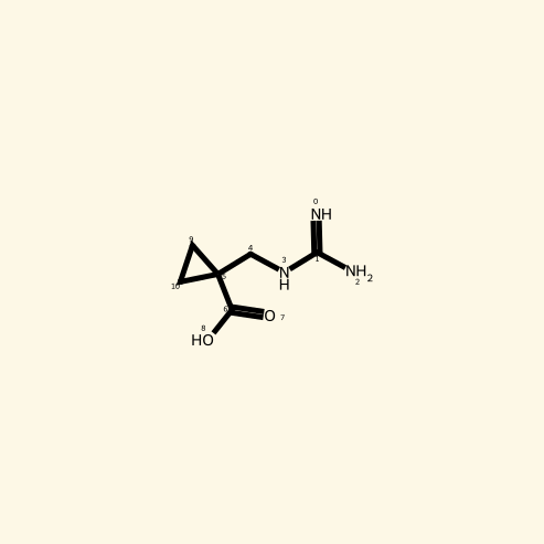 N=C(N)NCC1(C(=O)O)CC1